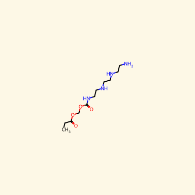 CCC(=O)OCOC(=O)NCCNCCNCCN